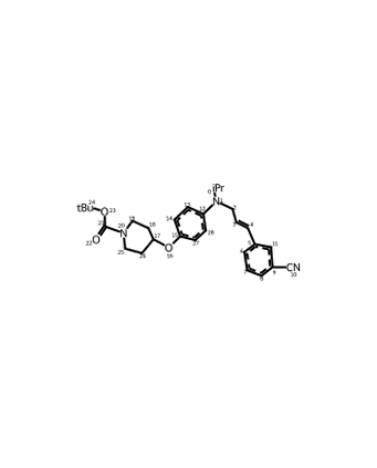 CC(C)N(C/C=C/c1cccc(C#N)c1)c1ccc(OC2CCN(C(=O)OC(C)(C)C)CC2)cc1